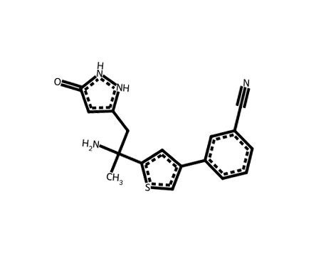 CC(N)(Cc1cc(=O)[nH][nH]1)c1cc(-c2cccc(C#N)c2)cs1